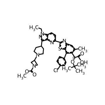 CCn1nc(C2CCN(C3CN(C(=O)OC)C3)CC2)c2nc(-c3nc4cc(C)c([C@H](OC(C)(C)C)C(=O)O)c(-c5ccc(Cl)cc5)c4s3)ccc21